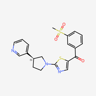 CS(=O)(=O)c1cccc(C(=O)c2cnc(N3CC[C@@H](c4cccnc4)C3)s2)c1